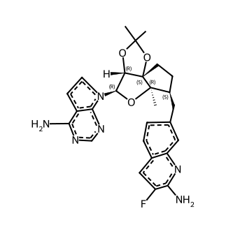 CC1(C)O[C@H]2[C@H](n3ccc4c(N)ncnc43)O[C@]3(C)[C@H](Cc4ccc5cc(F)c(N)nc5c4)CC[C@]23O1